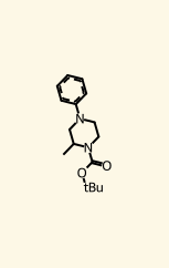 CC1CN(c2ccccc2)CCN1C(=O)OC(C)(C)C